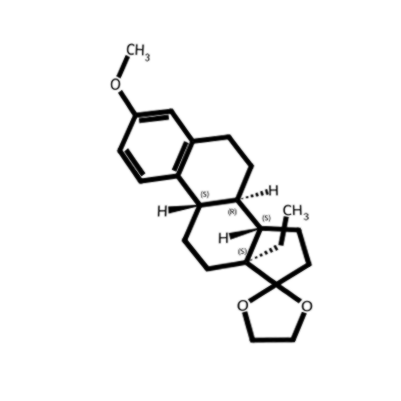 CC[C@]12CC[C@@H]3c4ccc(OC)cc4CC[C@H]3[C@@H]1CCC21OCCO1